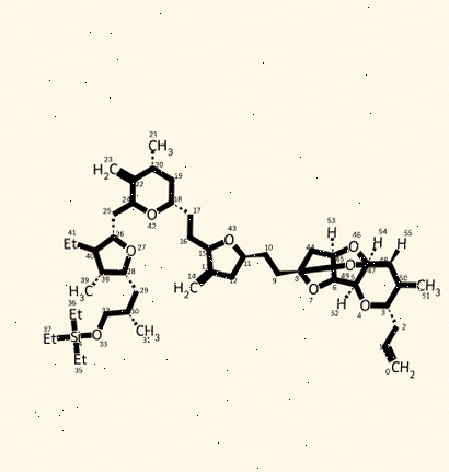 C=CC[C@@H]1O[C@H]2C3O[C@]4(CC[C@H]5CC(=C)C(CC[C@H]6C[C@@H](C)C(=C)C(C[C@@H]7O[C@H](C[C@H](C)CO[Si](CC)(CC)CC)[C@H](C)C7CC)O6)O5)C[C@H]3O[C@H]2[C@@H](O4)C1C